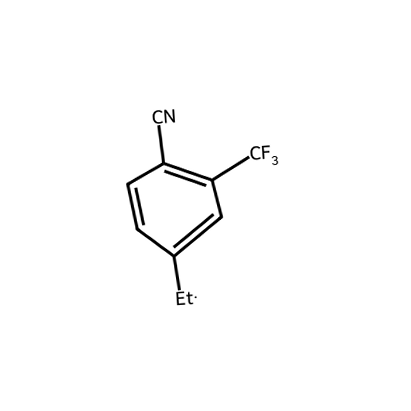 C[CH]c1ccc(C#N)c(C(F)(F)F)c1